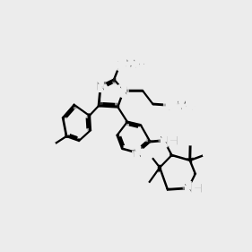 COCCn1c(SC)nc(-c2ccc(F)cc2)c1-c1ccnc(NC2C(C)(C)CNCC2(C)C)c1